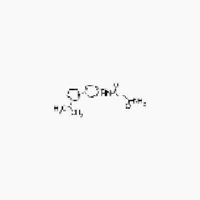 CC(C)c1cccc(-c2ccc(CNC(=O)CCC(N)=O)cc2)c1